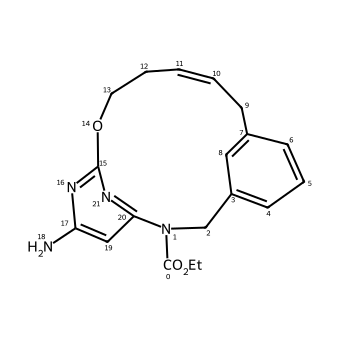 CCOC(=O)N1Cc2cccc(c2)C/C=C\CCOc2nc(N)cc1n2